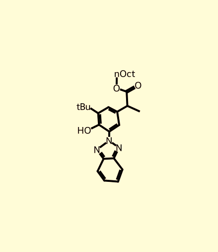 CCCCCCCCOC(=O)C(C)c1cc(-n2nc3ccccc3n2)c(O)c(C(C)(C)C)c1